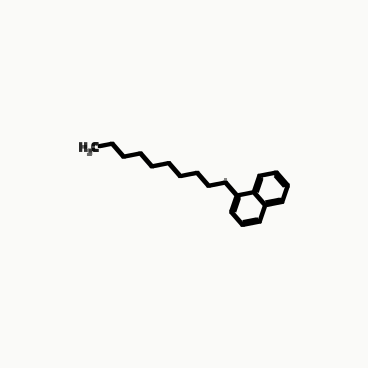 CCCCCCCCC[CH]c1cccc2ccccc12